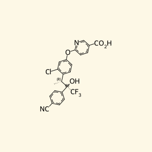 C[C@H](c1ccc(Oc2ccc(C(=O)O)cn2)cc1Cl)[C@@](O)(c1ccc(C#N)cc1)C(F)(F)F